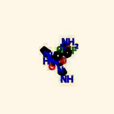 CNC1CCN(C[C@H]2COc3c(-c4ccc(F)c5sc(N)nc45)c(Cl)cc4c(N5CC6CCC(C5)N6)nc(=O)n2c34)C1